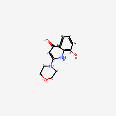 O=c1cc(N2CCOCC2)[nH]c2c(Br)cccc12